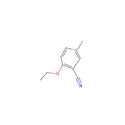 CCOc1ccc(C)cc1C#N